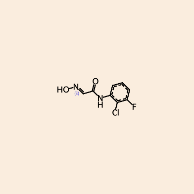 O=C(/C=N/O)Nc1cccc(F)c1Cl